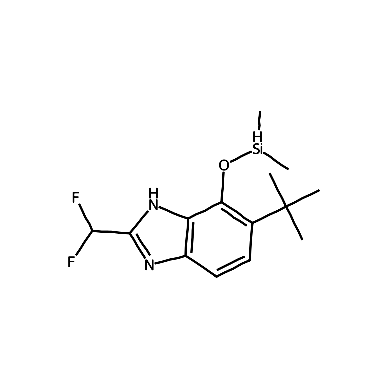 C[SiH](C)Oc1c(C(C)(C)C)ccc2nc(C(F)F)[nH]c12